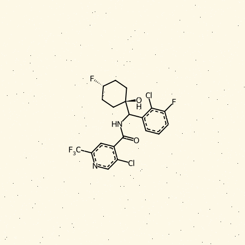 O=C(NC(c1cccc(F)c1Cl)[C@]1(O)CC[C@H](F)CC1)c1cc(C(F)(F)F)ncc1Cl